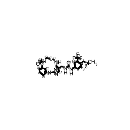 CN(C)Cc1ccc(NC(=O)NCc2cnc3nc2NCCCNS(=O)(=O)c2cccc(c2)N3)cc1C(F)(F)F